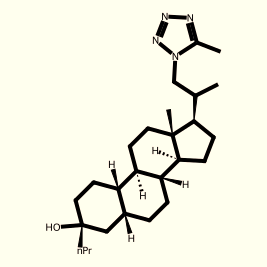 CCC[C@@]1(O)CC[C@H]2[C@H](CC[C@@H]3[C@@H]2CC[C@]2(C)[C@@H](C(C)Cn4nnnc4C)CC[C@@H]32)C1